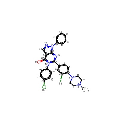 CN1CCN(c2ccc(-c3nc4c(cnn4-c4ccccc4)c(=O)n3-c3ccc(Cl)cc3)cc2F)CC1